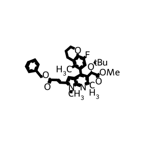 COC(=O)[C@@H](OC(C)(C)C)c1c(C)nc2c(cc(C=CC(=O)OCc3ccccc3)n2C)c1-c1cc(F)c2c(c1C)CCCO2